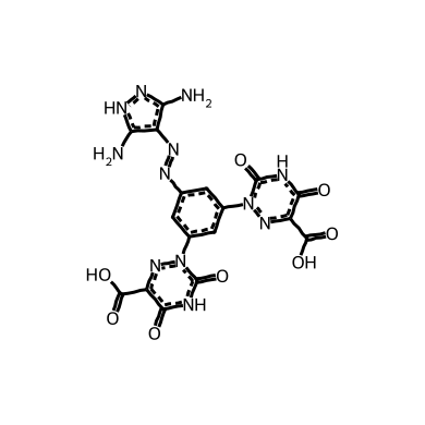 Nc1n[nH]c(N)c1N=Nc1cc(-n2nc(C(=O)O)c(=O)[nH]c2=O)cc(-n2nc(C(=O)O)c(=O)[nH]c2=O)c1